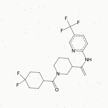 C=C(Nc1ccc(C(F)(F)F)cn1)C1CCCN(C(=O)C2CCC(F)(F)CC2)C1